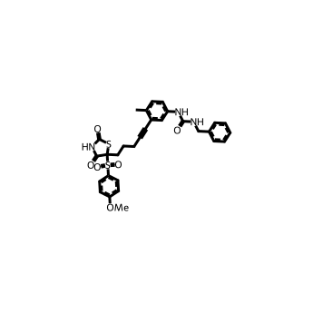 COc1ccc(S(=O)(=O)C2(CCCC#Cc3cc(NC(=O)NCc4ccccc4)ccc3C)SC(=O)NC2=O)cc1